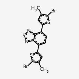 Cc1cc(-c2ccc(-c3cc(C)c(Br)s3)c3nsnc23)sc1Br